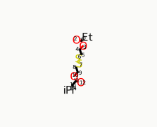 CCC(=O)OCCSSCCOC(=O)CC(C)C